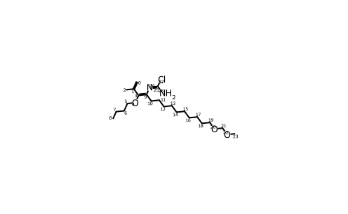 C=C(C)/C(OCCCC)=C(CCCCCCCCCCOCOC)\N=C(/N)Cl